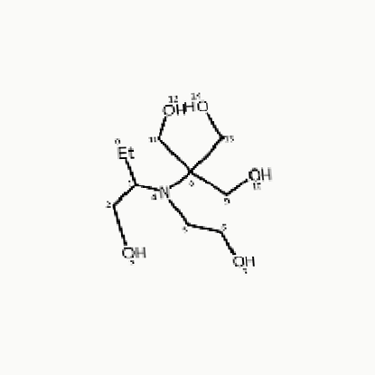 CCC(CO)N(CCO)C(CO)(CO)CO